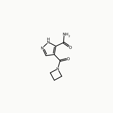 NC(=O)c1[nH]ncc1C(=O)N1CCC1